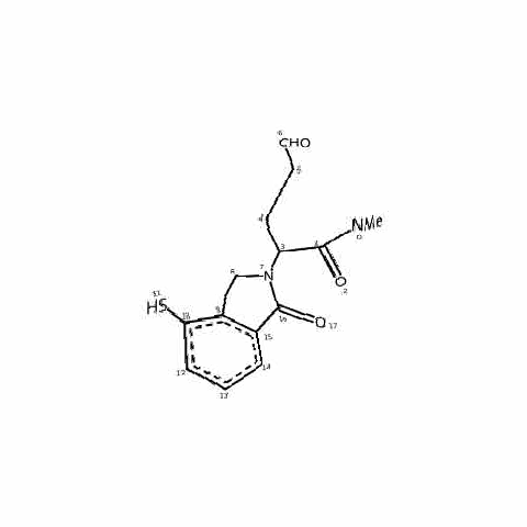 CNC(=O)C(CCC=O)N1Cc2c(S)cccc2C1=O